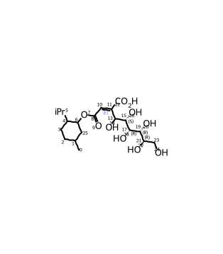 CC1CCC(C(C)C)C(OC(=O)/C=C(/C(=O)O)C(O)[C@H](O)[C@@H](O)[C@H](O)[C@H](O)CO)C1